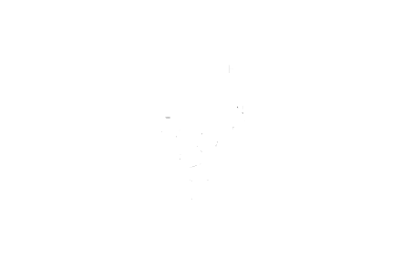 Cc1c(Cl)cccc1C1=C(c2ccc(C=C3CN(CCC(F)F)C3)cc2)c2ccccc2CCC1